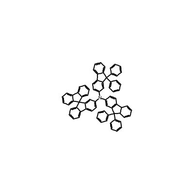 C1=CC2c3ccc(N(c4ccc5c(c4)C(c4ccccc4)(c4ccccc4)c4ccccc4-5)c4ccc5c(c4)C4(c6ccccc6-c6ccccc64)c4ccccc4-5)cc3C(c3ccccc3)(c3ccccc3)C2C=C1